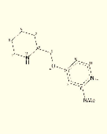 CNc1cc(OCC2CCCCN2)ccn1